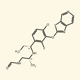 CC[C@@H](N[C@H](C)CNC=O)c1ccc(Cl)c(Oc2nc3ccncc3s2)c1F